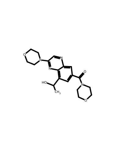 CC(O)c1cc(C(=O)N2CCOCC2)cc2ncc(N3CCOCC3)nc12